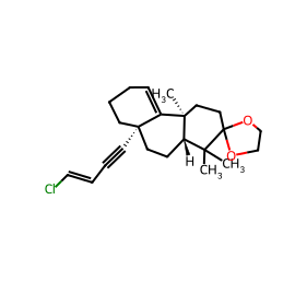 CC1(C)[C@@H]2CC[C@@]3(C#CC=CCl)CCCC=C3[C@@]2(C)CCC12OCCO2